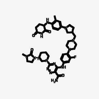 Cc1cc(N2CCC(CN3CCN(c4ccc(Nc5nc(N6CCC[C@@H](N7CCN(C)C7=O)C6)nnc5C(N)=O)cc4F)CC3)C2)ccc1NC1CCC(=O)NC1=O